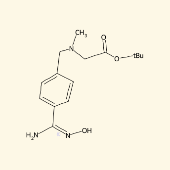 CN(CC(=O)OC(C)(C)C)Cc1ccc(/C(N)=N\O)cc1